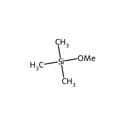 [CH2-][OH+][Si](C)(C)C